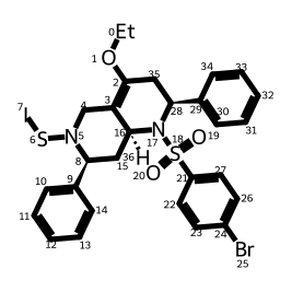 CCOC1=C2CN(SI)[C@H](c3ccccc3)C[C@@H]2N(S(=O)(=O)c2ccc(Br)cc2)[C@H](c2ccccc2)C1